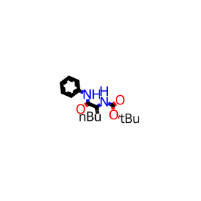 CCCCC(NC(=O)OC(C)(C)C)C(=O)Nc1ccccc1